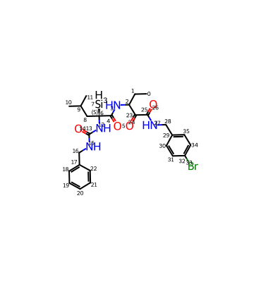 CCC(NC(=O)[C@@]([SiH3])(CC(C)C)NC(=O)NCc1ccccc1)C(=O)C(=O)NCc1ccc(Br)cc1